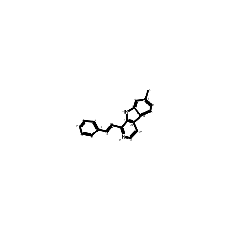 Cc1ccc2c(c1)[nH]c1c(/C=C/c3ccccc3)nccc12